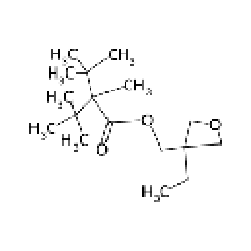 CCC1(COC(=O)C(C)(C(C)(C)C)C(C)(C)C)COC1